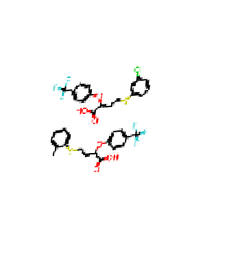 Cc1ccccc1SCCC(Oc1ccc(C(F)(F)F)cc1)C(=O)O.O=C(O)C(CCSc1cccc(Cl)c1)Oc1ccc(C(F)(F)F)cc1